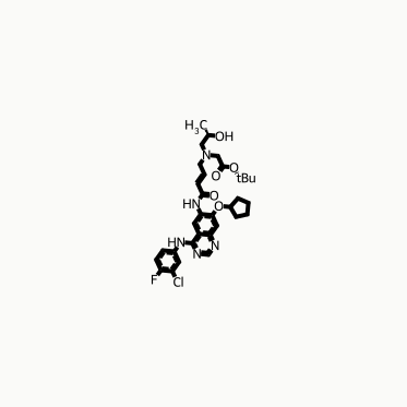 C[C@@H](O)CN(CC=CC(=O)Nc1cc2c(Nc3ccc(F)c(Cl)c3)ncnc2cc1OC1CCCC1)CC(=O)OC(C)(C)C